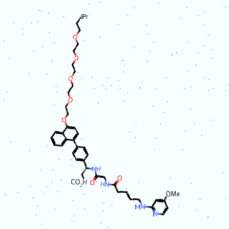 COc1ccnc(NCCCCC(=O)NCC(=O)N[C@@H](CC(=O)O)c2ccc(-c3ccc(OCCOCCOCCOCCOCCC(C)C)c4ccccc34)cc2)c1